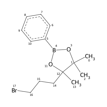 CC1(C)OB(c2ccccc2)OC1(C)CCCBr